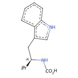 CC(C)[C@@H](Cc1c[nH]c2ccccc12)NC(=O)O